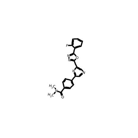 CN(C)C(=O)c1ccc(-c2cncc(-c3nnc(-c4ccccc4F)o3)n2)cc1